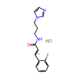 Cl.O=C(/C=C/c1ccccc1F)NCCCn1ccnc1